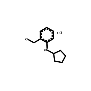 Cl.ClCc1ccccc1NC1CCCC1